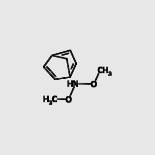 C1=CC2=CC=C1C2.CONOC